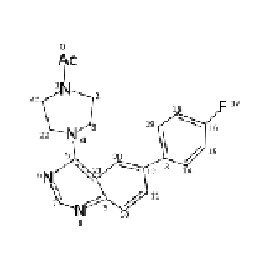 CC(=O)N1CCN(c2ncnc3ccc(-c4ccc(F)cc4)cc23)CC1